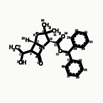 CC(O)C1C(=O)N2[C@@H]1SC(C)(C)[C@@H]2C(=O)OC(c1ccccc1)c1ccccc1